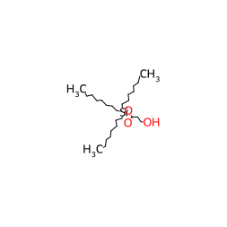 CCCCCCCC[Si](CCCCCCCC)(CCCCCCCC)OC(=O)CCO